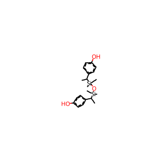 CC(c1ccc(O)cc1)[Si](C)(C)O[Si](C)(C)C(C)c1ccc(O)cc1